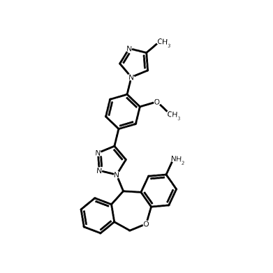 COc1cc(-c2cn(C3c4ccccc4COc4ccc(N)cc43)nn2)ccc1-n1cnc(C)c1